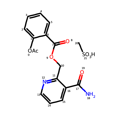 CC(=O)Oc1ccccc1C(=O)OCc1ncccc1C(N)=O.CS(=O)(=O)O